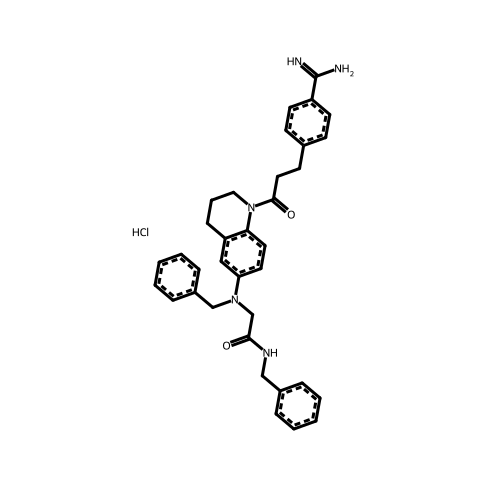 Cl.N=C(N)c1ccc(CCC(=O)N2CCCc3cc(N(CC(=O)NCc4ccccc4)Cc4ccccc4)ccc32)cc1